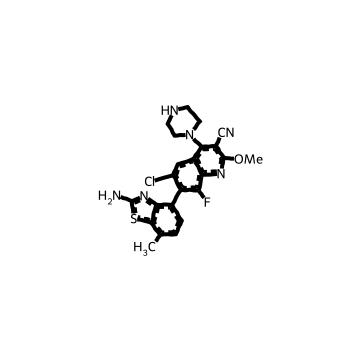 COc1nc2c(F)c(-c3ccc(C)c4sc(N)nc34)c(Cl)cc2c(N2CCNCC2)c1C#N